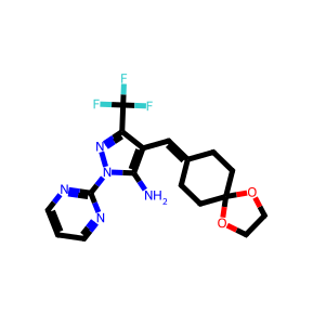 Nc1c(C=C2CCC3(CC2)OCCO3)c(C(F)(F)F)nn1-c1ncccn1